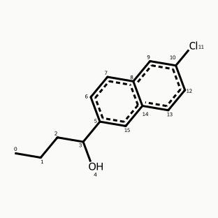 CCCC(O)c1ccc2cc(Cl)ccc2c1